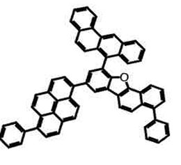 c1ccc(-c2cccc3c2ccc2c4cc(-c5ccc6ccc7c(-c8ccccc8)ccc8ccc5c6c87)cc(-c5c6ccccc6cc6c5ccc5ccccc56)c4oc32)cc1